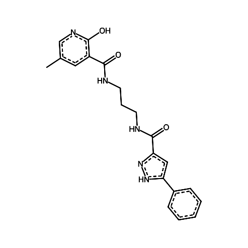 Cc1cnc(O)c(C(=O)NCCCNC(=O)c2cc(-c3ccccc3)[nH]n2)c1